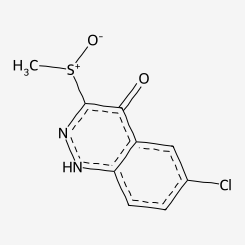 C[S+]([O-])c1n[nH]c2ccc(Cl)cc2c1=O